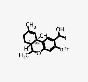 CCCc1cc2c(cc1C(O)I)[C@]1(C)C=C(C)CC[C@H]1C(C)O2